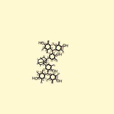 Cc1cc(C23CC4CC(C2)CC(c2cc(C)c(O)c(C(c5cc(C)c(O)c(C)c5C)c5cc(C)c(O)c(C)c5C)c2)(C4)C3)cc(C(c2cc(C)c(O)c(C)c2C)c2cc(C)c(O)c(C)c2C)c1O